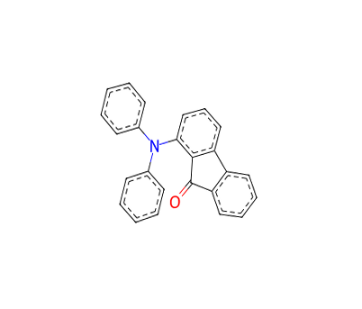 O=C1c2ccccc2-c2cccc(N(c3ccccc3)c3ccccc3)c21